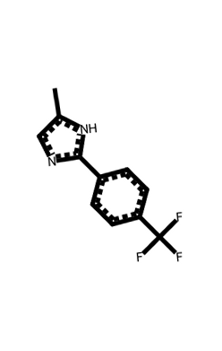 Cc1cnc(-c2ccc(C(F)(F)F)cc2)[nH]1